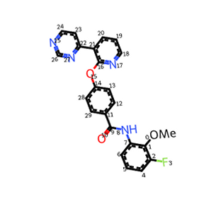 COc1c(F)cccc1NC(=O)c1ccc(Oc2ncccc2-c2ccncn2)cc1